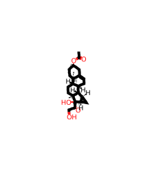 CC(=O)O[C@H]1CC[C@@]2(C)C(=CC[C@H]3[C@@H]4[C@H]5C[C@H]5[C@](O)(C(=O)CO)[C@@]4(C)CC[C@@H]32)C1